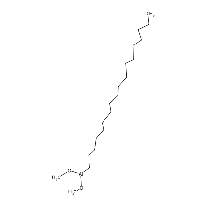 CCCCCCCCCCCCCCCCC[CH2][Al]([O]C)[O]C